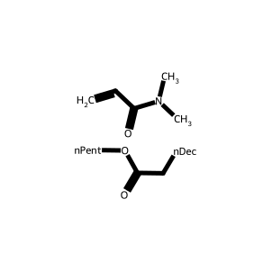 C=CC(=O)N(C)C.CCCCCCCCCCCC(=O)OCCCCC